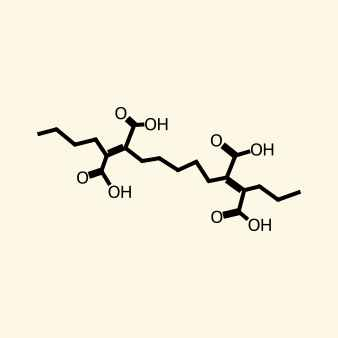 CCCCC(C(=O)O)=C(CCCCCC(C(=O)O)=C(CCC)C(=O)O)C(=O)O